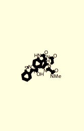 CNC(=O)c1nc(NC(O)c2nsc3ccccc23)c2n1CC(=O)NC21C(=O)Nc2ccc(F)cc21